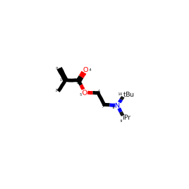 C=C(C)C(=O)OCCN(C(C)C)C(C)(C)C